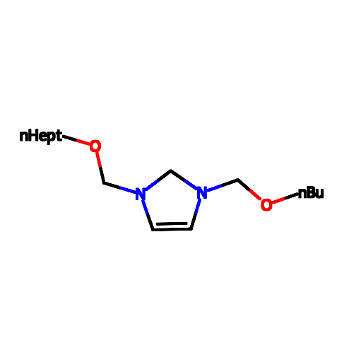 CCCCCCCOCN1C=CN(COCCCC)C1